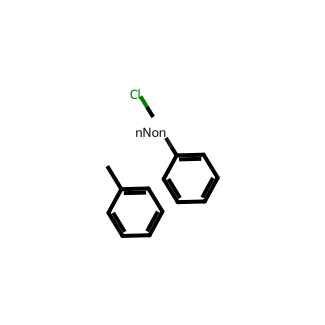 CCCCCCCCCc1ccccc1.CCl.Cc1ccccc1